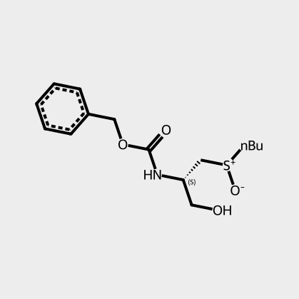 CCCC[S+]([O-])C[C@H](CO)NC(=O)OCc1ccccc1